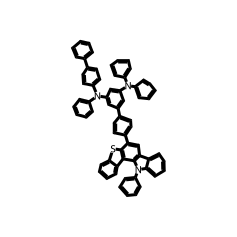 c1ccc(-c2ccc(N(c3ccccc3)c3cc(-c4ccc(-c5cc6c7ccccc7n(-c7ccccc7)c6c6c5sc5ccccc56)cc4)cc(N(c4ccccc4)c4ccccc4)c3)cc2)cc1